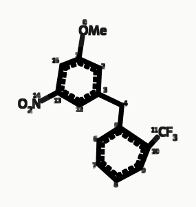 COc1cc(Cc2ccccc2C(F)(F)F)cc([N+](=O)[O-])c1